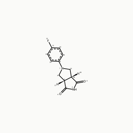 O=C1NC(=O)[C@@H]2CN(c3ccc(F)cc3)C[C@H]12